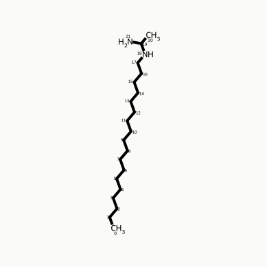 CCCCCCCCCCCCCCCCCCNC(C)N